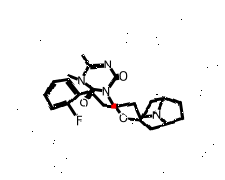 Cc1nc(=O)n(CCCN2C3CCC2CC(OCCCc2ccccc2F)C3)c(=O)n1C